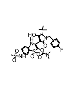 CN(C)C(=O)OC1=C(C2=C(O)[C@H](C(C)(C)C)N(Cc3ccc(F)cc3)C2=O)Nc2ccc(NS(C)(=O)=O)cc2S1(=O)=O